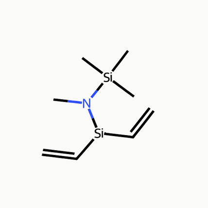 C=C[Si](C=C)N(C)[Si](C)(C)C